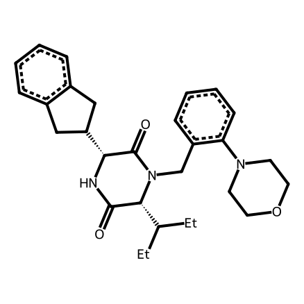 CCC(CC)[C@@H]1C(=O)N[C@H](C2Cc3ccccc3C2)C(=O)N1Cc1ccccc1N1CCOCC1